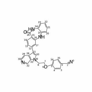 N#Cc1ccc(OCCn2cc(-c3ccc4c(c3)Nc3ccccc3NC4=O)c3ccncc32)cc1